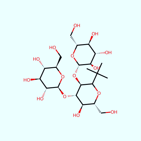 CC(C)(C)C1O[C@H](CO)[C@@H](O)[C@H](O[C@@H]2O[C@H](CO)[C@@H](O)[C@H](O)[C@H]2O)[C@H]1O[C@@H]1O[C@H](CO)[C@@H](O)[C@H](O)[C@H]1O